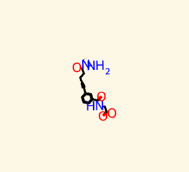 COC(=O)CNC(=O)c1cccc(C#CCCC(=O)N(C)N)c1